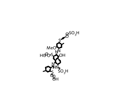 COc1cc(SC#COOS(=O)(=O)O)c(C)cc1N=Nc1c(SOOO)cc2c(N=Nc3ccc(C)cc3SOOO)c(NCS(=O)(=O)O)ccc2c1O